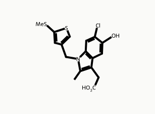 CSc1cc(Cn2c(C)c(CC(=O)O)c3cc(O)c(Cl)cc32)cs1